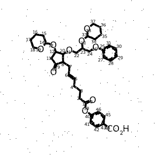 O=C(CCC/C=C/CC1C(=O)CC(OC2CCCCO2)C1OCC(COc1ccccc1)OC1CCCCO1)Oc1ccc(C(=O)O)cc1